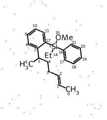 CC=CCCC(C)c1ccccc1[Si](CC)(OC)c1ccccc1